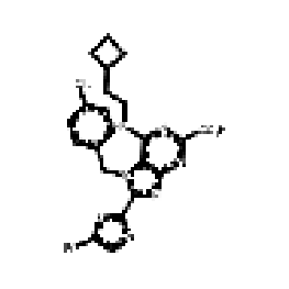 CC(C)c1cnc(-c2nc3nc(C(=O)O)nc(NCCC4CCC4)c3n2Cc2ccc(C(F)(F)F)cc2)s1